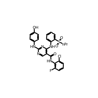 CCCS(=O)(=O)c1ccccc1Nc1nc(Nc2ccc(O)cc2)ncc1C(=O)Nc1c(F)cccc1Cl